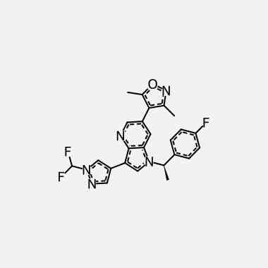 Cc1noc(C)c1-c1cnc2c(-c3cnn(C(F)F)c3)cn([C@H](C)c3ccc(F)cc3)c2c1